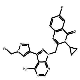 CC(C)Cn1cc(-c2nn(Cc3nc4ccc(F)cc4c(=O)n3C3CC3)c3ncnc(N)c23)cn1